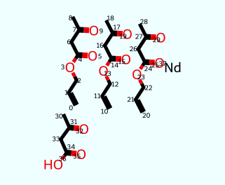 C=CCOC(=O)CC(C)=O.C=CCOC(=O)CC(C)=O.C=CCOC(=O)CC(C)=O.CC(=O)CC(=O)O.[Nd]